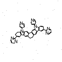 C1=C(c2ncccn2)CCc2c1c1cc3c(cc1n2-c1ccncc1)-c1cc2c(cc1CC3)c1cc(-c3ncccn3)ccc1n2-c1ccncc1